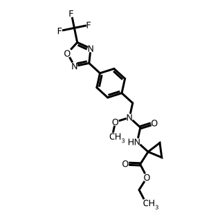 CCOC(=O)C1(NC(=O)N(Cc2ccc(-c3noc(C(F)(F)F)n3)cc2)OC)CC1